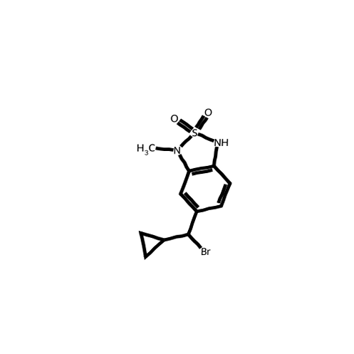 CN1c2cc(C(Br)C3CC3)ccc2NS1(=O)=O